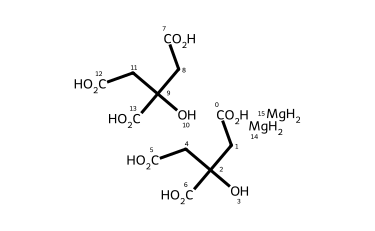 O=C(O)CC(O)(CC(=O)O)C(=O)O.O=C(O)CC(O)(CC(=O)O)C(=O)O.[MgH2].[MgH2]